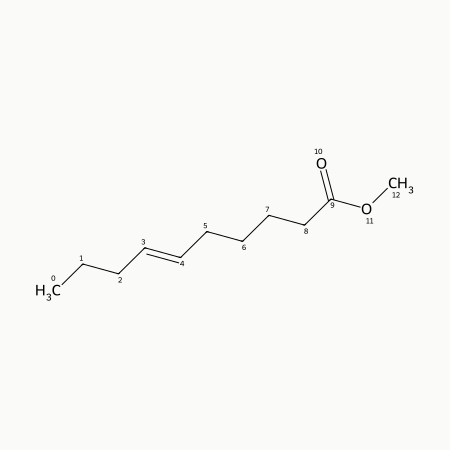 CCC/C=C/CCCCC(=O)OC